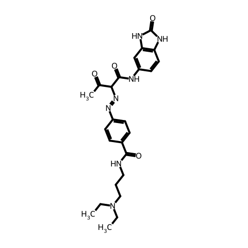 CCN(CC)CCCNC(=O)c1ccc(N=NC(C(C)=O)C(=O)Nc2ccc3[nH]c(=O)[nH]c3c2)cc1